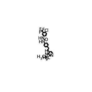 CC(=O)Nc1c(CCc2ccc(NC(=O)Nc3ccc(Cl)c(C(F)(F)F)c3)cc2)ccnc1C